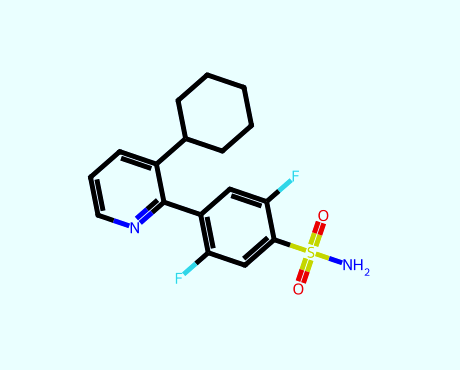 NS(=O)(=O)c1cc(F)c(-c2ncccc2C2CCCCC2)cc1F